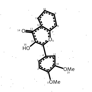 COc1ccc(-c2oc3ccccc3c(=O)c2O)cc1OC